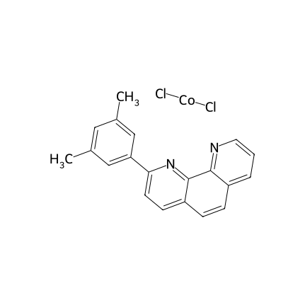 Cc1cc(C)cc(-c2ccc3ccc4cccnc4c3n2)c1.[Cl][Co][Cl]